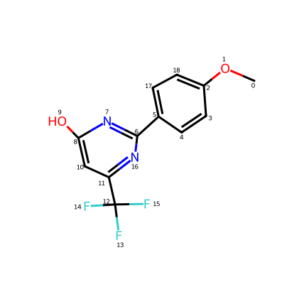 COc1ccc(-c2nc(O)cc(C(F)(F)F)n2)cc1